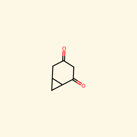 O=C1CC(=O)C2CC2C1